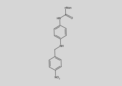 CCCCCCCCCC(=O)Nc1ccc(NCc2ccc([N+](=O)[O-])cc2)cc1